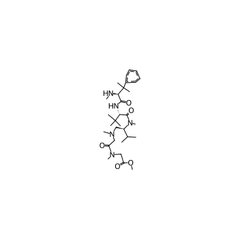 CN[C@H](C(=O)N[C@H](C(=O)N(C)[C@H](CN(C)CC(=O)N(C)CC(=O)OC)C(C)C)C(C)(C)C)C(C)(C)c1ccccc1